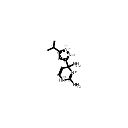 CC(C)c1cc(C2(N)C=CNC(N)=N2)n[nH]1